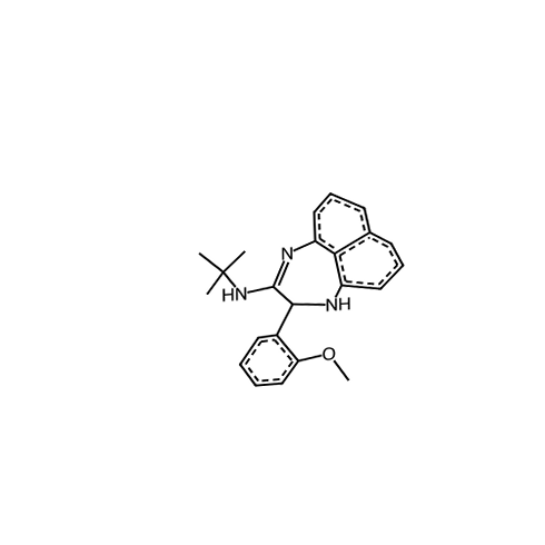 COc1ccccc1C1Nc2cccc3cccc(c23)N=C1NC(C)(C)C